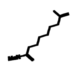 C=C(C)CCCCCCC(=C)NC